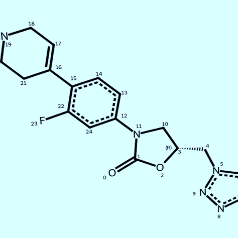 O=C1O[C@@H](Cn2ccnn2)CN1c1ccc(C2=CCNCC2)c(F)c1